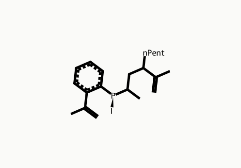 C=C(C)c1ccccc1[P@](I)C(C)CC(CCCCC)C(=C)C